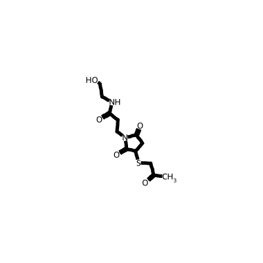 CC(=O)CSC1CC(=O)N(CCC(=O)NCCO)C1=O